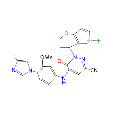 COc1cc(Nc2cc(C#N)nn(C3CCOc4ccc(F)cc43)c2=O)ccc1-n1cnc(C)c1